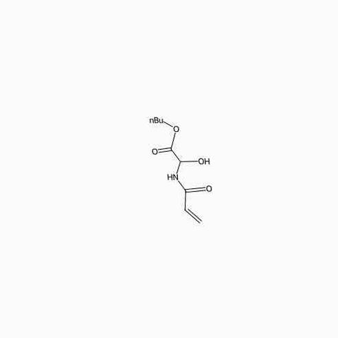 C=CC(=O)NC(O)C(=O)OCCCC